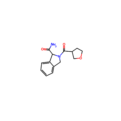 NC(=O)C1c2ccccc2CN1C(=O)C1CCOC1